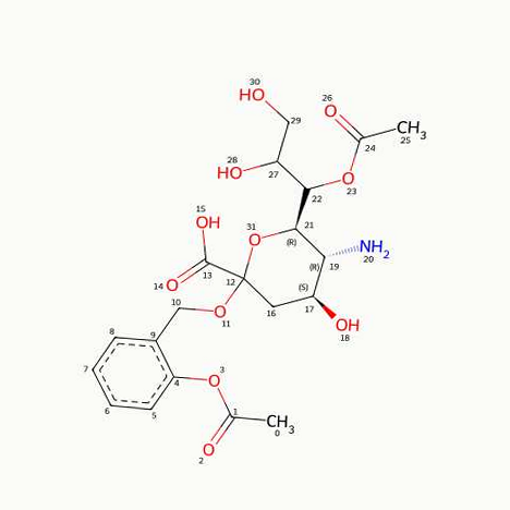 CC(=O)Oc1ccccc1COC1(C(=O)O)C[C@H](O)[C@@H](N)[C@H](C(OC(C)=O)C(O)CO)O1